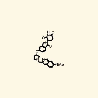 CNc1ccc2cc(CN3CC[C@H](Oc4ccc5c(c4)CN(C4CCC(=O)NC4=O)C5=O)C3)ncc2c1